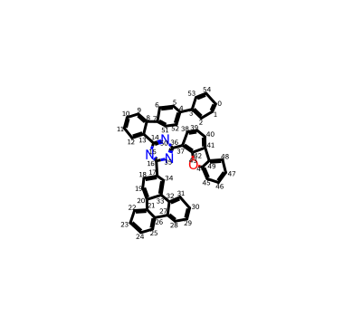 c1ccc(-c2ccc(-c3ccccc3-c3nc(-c4ccc5c6ccccc6c6ccccc6c5c4)nc(-c4cccc5c4oc4ccccc45)n3)cc2)cc1